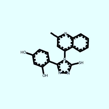 Cc1cc(-n2c(S)nnc2-c2ccc(O)cc2O)c2ccccc2n1